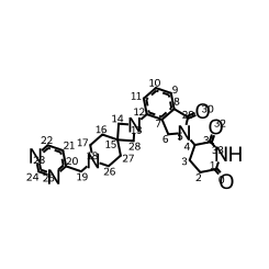 O=C1CCC(N2Cc3c(cccc3N3CC4(CCN(Cc5ccncn5)CC4)C3)C2=O)C(=O)N1